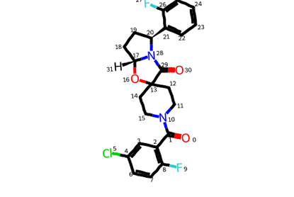 O=C(c1cc(Cl)ccc1F)N1CCC2(CC1)O[C@@H]1CC[C@@H](c3ccccc3F)N1C2=O